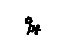 CC1CC(c2ccccc2)CN(S(C)(=O)=O)C1